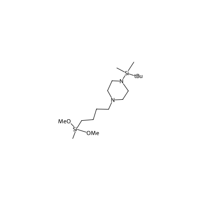 CO[Si](C)(CCCCN1CCN([Si](C)(C)C(C)(C)C)CC1)OC